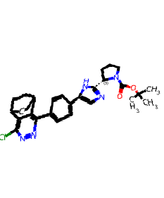 CC(C)(C)OC(=O)N1CCC[C@H]1c1ncc(-c2ccc(-c3nnc(Cl)c4c3C3CCC4CC3)cc2)[nH]1